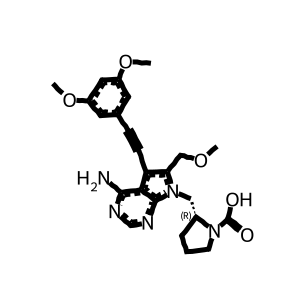 COCc1c(C#Cc2cc(OC)cc(OC)c2)c2c(N)ncnc2n1C[C@H]1CCCN1C(=O)O